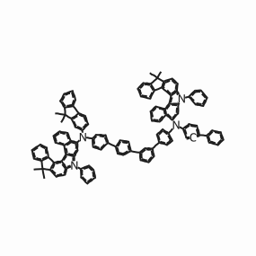 CC1(C)c2ccccc2-c2ccc(N(c3ccc(-c4ccc(-c5cccc(-c6ccc(N(c7ccc(-c8ccccc8)cc7)c7cc8c(c9ccccc79)c7c9c(ccc7n8-c7ccccc7)C(C)(C)c7ccccc7-9)cc6)c5)cc4)cc3)c3cc4c(c5ccccc35)c3c5c(ccc3n4-c3ccccc3)C(C)(C)c3ccccc3-5)cc21